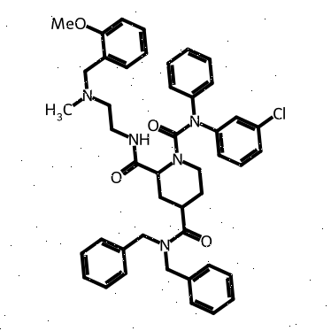 COc1ccccc1CN(C)CCNC(=O)C1CC(C(=O)N(Cc2ccccc2)Cc2ccccc2)CCN1C(=O)N(c1ccccc1)c1cccc(Cl)c1